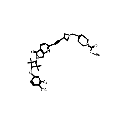 CC(C)(C)OC(=O)N1CCC(CN2CC(C#Cc3ccc4c(n3)CN([C@H]3C(C)(C)[C@H](Oc5ccc(C#N)c(Cl)c5)C3(C)C)C4=O)C2)CC1